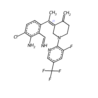 C=C1CCN(c2ncc(C(F)(F)F)cc2F)C/C1=C(/C)c1ccc(Cl)c(N)c1C=N